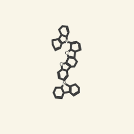 C1=CC2C3=C(OC2C(N2C4=C(CCC=C4)C4CCC=CC42)=C1)C1=C(CC3)C2C=C(N3C4=C(C=CCC4)C4C=CCCC43)C=CC2O1